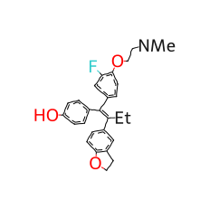 CC/C(=C(/c1ccc(O)cc1)c1ccc(OCCNC)c(F)c1)c1ccc2c(c1)CCO2